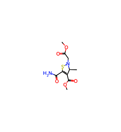 COC(=O)CN1SC(C(N)=O)=C(C(=O)OC)C1C